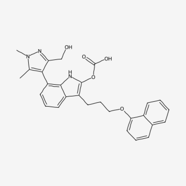 Cc1c(-c2cccc3c(CCCOc4cccc5ccccc45)c(OC(=O)O)[nH]c23)c(CO)nn1C